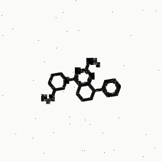 Nc1nc2c(c(N3CCCC(N)C3)n1)CCCC2c1ccccc1